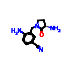 N#Cc1ccc(N)c(CN2CC[C@H](N)C2=O)c1